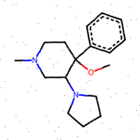 COC1(c2ccccc2)CCN(C)CC1N1CCCC1